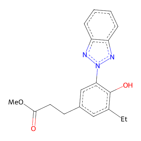 CCc1cc(CCC(=O)OC)cc(-n2nc3ccccc3n2)c1O